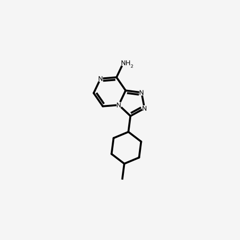 CC1CCC(c2nnc3c(N)nccn23)CC1